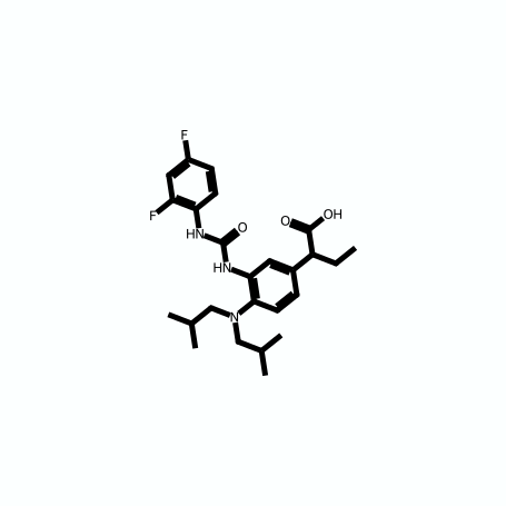 CCC(C(=O)O)c1ccc(N(CC(C)C)CC(C)C)c(NC(=O)Nc2ccc(F)cc2F)c1